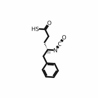 O=C=N[C@@H](CCC(=O)S)Cc1ccccc1